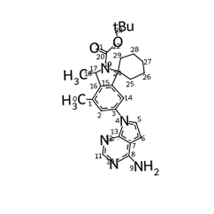 Cc1cc(-n2ccc3c(N)ncnc32)cc2c1C(C)N(C(=O)OC(C)(C)C)C21CCCCC1